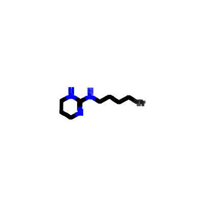 CC(C)CCCCNC1=NCCCN1